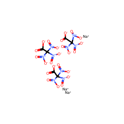 O=C([O-])C([N+](=O)[O-])([N+](=O)[O-])[N+](=O)[O-].O=C([O-])C([N+](=O)[O-])([N+](=O)[O-])[N+](=O)[O-].O=C([O-])C([N+](=O)[O-])([N+](=O)[O-])[N+](=O)[O-].[Na+].[Na+].[Na+]